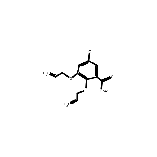 C=CCOc1cc(Cl)cc(C(=O)OC)c1OCC=C